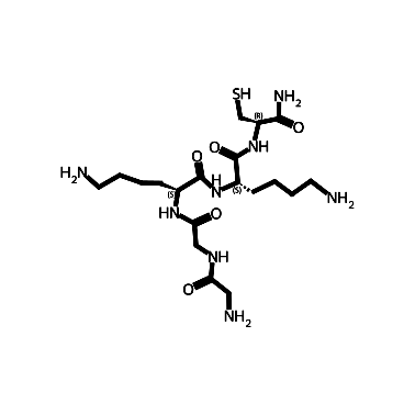 NCCCC[C@H](NC(=O)CNC(=O)CN)C(=O)N[C@@H](CCCCN)C(=O)N[C@@H](CS)C(N)=O